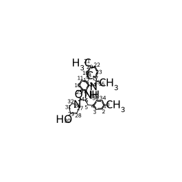 Cc1ccc(CC(Nc2ccccc2NC(C)c2ccc(C)cc2)C(=O)N2CCC(O)CC2)cc1